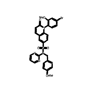 COc1ccc(CN(c2ncccn2)S(=O)(=O)c2ccc3c(ccc(=O)n3-c3ccc(Br)cc3OC)c2)cc1